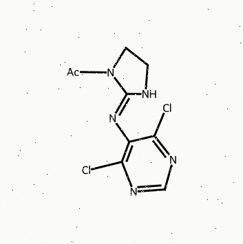 CC(=O)N1CCNC1=Nc1c(Cl)ncnc1Cl